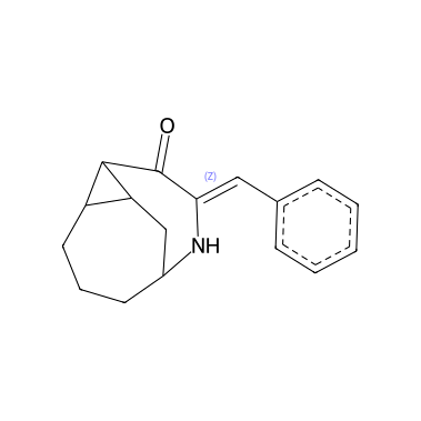 O=C1/C(=C/c2ccccc2)NC2CCCC3C(C2)C13